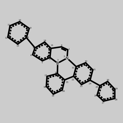 C1=CN2B(c3ccc(-c4ccccc4)cc31)c1ccccc1-c1cc(-c3ccccc3)ccc12